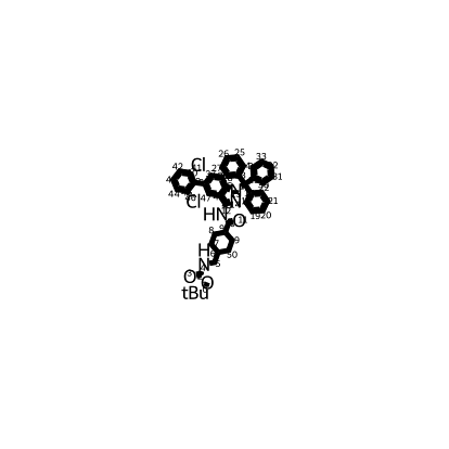 CC(C)(C)OC(=O)NCC1CCC(C(=O)Nc2nn(C(c3ccccc3)(c3ccccc3)c3ccccc3)c3ccc(-c4c(Cl)cccc4Cl)cc23)CC1